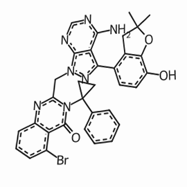 CC1(C)Cc2c(-c3nn(Cc4nc5cccc(Br)c5c(=O)n4C4(c5ccccc5)CC4)c4ncnc(N)c34)ccc(O)c2O1